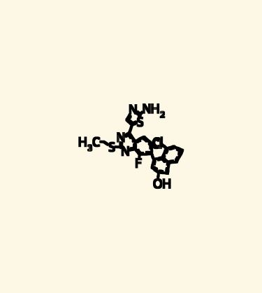 CCSc1nc(-c2cnc(N)s2)c2cc(Cl)c(-c3cc(O)cc4cccc(Cl)c34)c(F)c2n1